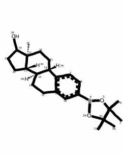 CC1(C)OB(c2ccc3c(c2)CC[C@@H]2[C@@H]3CC[C@]3(C)C(O)CC[C@@H]23)OC1(C)C